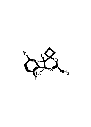 C[C@@]1(c2cc(Br)ccc2F)N=C(N)OC2(CCC2)C1(F)F